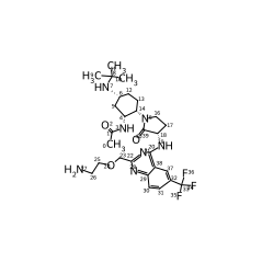 CC(=O)N[C@@H]1C[C@H](NC(C)(C)C)CC[C@@H]1N1CC[C@H](Nc2nc(COCCN)nc3ccc(C(F)(F)F)cc23)C1=O